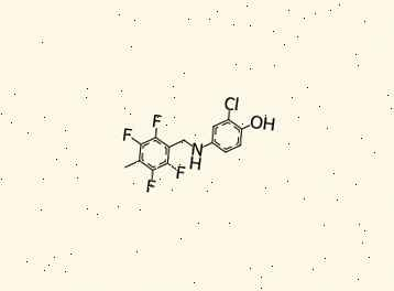 Cc1c(F)c(F)c(CNc2ccc(O)c(Cl)c2)c(F)c1F